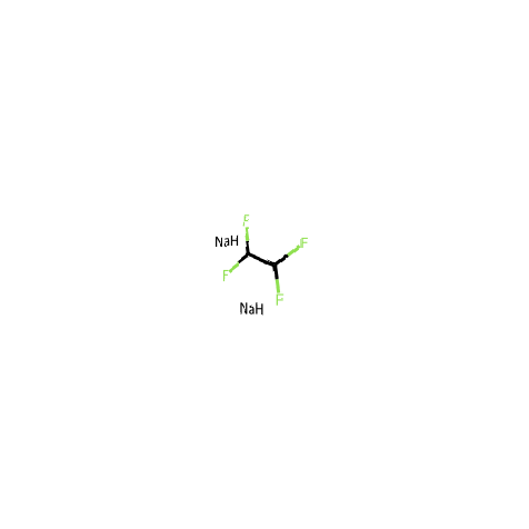 FC(F)C(F)F.[NaH].[NaH]